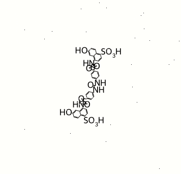 O=C(Nc1ccc(S(=O)(=O)Nc2ccc(S(=O)(=O)O)c3ccc(O)cc23)cc1)Nc1ccc(S(=O)(=O)Nc2ccc(S(=O)(=O)O)c3ccc(O)cc23)cc1